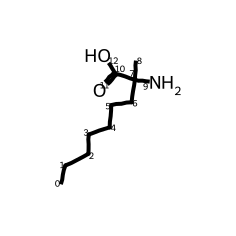 CCCCCCCC(C)(N)C(=O)O